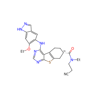 CCOc1cc2[nH]ncc2cc1Nc1ncnc2sc3c(c12)CC[C@H](C(=O)N(CC)CCC#N)C3